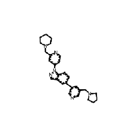 c1cc(-n2ncc3cc(-c4cncc(CN5CCCC5)c4)ccc32)cc(CN2CCCCC2)n1